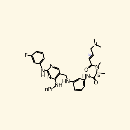 CCCNc1nc(Nc2cccc(F)c2)ncc1CNc1cccc(NC(=O)[C@H](C)N(C)C(=O)/C=C/CN(C)C)c1